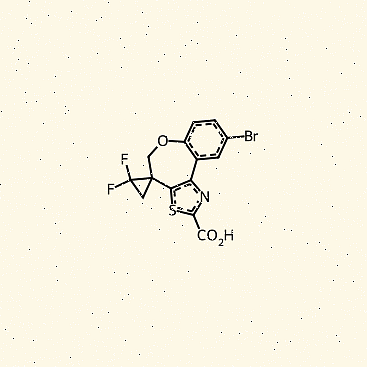 O=C(O)c1nc2c(s1)C1(COc3ccc(Br)cc3-2)CC1(F)F